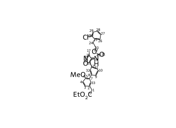 CCOC(=O)Cc1ccc(OC)c(-c2cccc(-c3onc(C)c3NC(=O)OCCc3ccccc3Cl)c2)c1